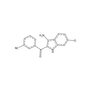 N#Cc1cccc(C(=O)c2[nH]c3cc(Cl)ccc3c2N)c1